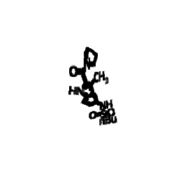 CCCCS(=O)(=O)Nc1ccc2[nH]c(C(=O)N3CCCC3)c(C)c2c1